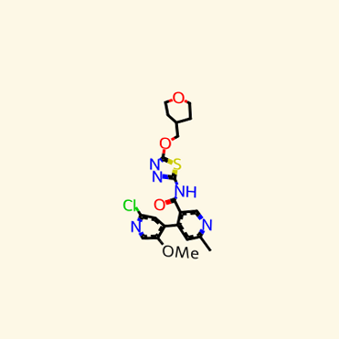 COc1cnc(Cl)cc1-c1cc(C)ncc1C(=O)Nc1nnc(OCC2CCOCC2)s1